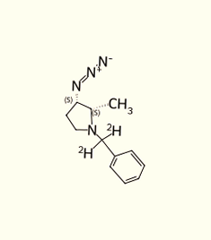 [2H]C([2H])(c1ccccc1)N1CC[C@H](N=[N+]=[N-])[C@@H]1C